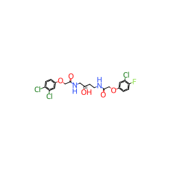 O=C(COc1ccc(F)c(Cl)c1)NCC[C@H](O)CNC(=O)COc1ccc(Cl)c(Cl)c1